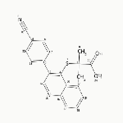 CC(C)(Sc1c(-c2ccc(C#N)cc2)cnc2ccccc12)C(=O)O